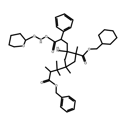 CC(C(=O)OCc1ccccc1)C(C)(C)C(C)(C)CC(C)(C(=O)OCC1CCCCC1)C(C)(N)CC(C(=O)OBOC1CCCCO1)c1ccccc1